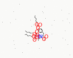 CCCCCOC(=O)Oc1ccc(C[C@H](NCC(C)OC(=O)OCCCCC)C(=O)OC)cc1OC(=O)OCCCCC